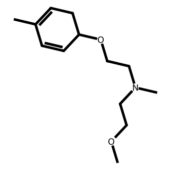 COCCN(C)CCOC1C=CC(C)=CC1